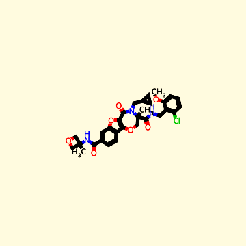 COc1cccc(Cl)c1CNC(=O)C1(C)COc2c(oc3cc(C(=O)NC4(C)COC4)ccc23)C(=O)N1CC1CC1